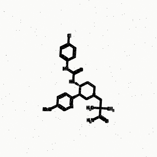 COc1ccc([C@@H]2CN(CC(C)(C)C(N)=O)CC[C@H]2NC(=O)Nc2ccc(Cl)cc2)nc1